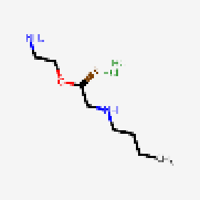 CCCCNCC(=S)OCCN.Cl.Cl